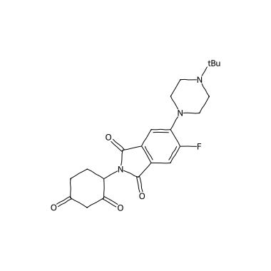 CC(C)(C)N1CCN(c2cc3c(cc2F)C(=O)N(C2CCC(=O)CC2=O)C3=O)CC1